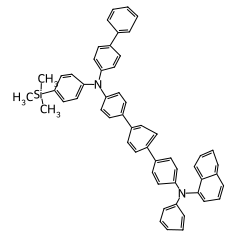 C[Si](C)(C)c1ccc(N(c2ccc(-c3ccccc3)cc2)c2ccc(-c3ccc(-c4ccc(N(c5ccccc5)c5cccc6ccccc56)cc4)cc3)cc2)cc1